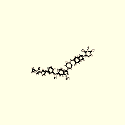 CC(C)n1nc(N2CCN(Cc3cc4cn(C5CCC(=O)NC5=O)cc4cc3F)CC2)c2cnc(Nc3ccnc(-c4cnn(S(=O)(=O)C5CC5)c4)n3)cc21